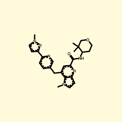 Cn1ccc(-c2ccc(Cc3cc(C(=O)NC4CCOCC4(C)C)nc4ccn(C)c34)cn2)n1